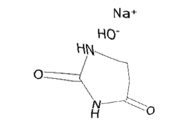 O=C1CNC(=O)N1.[Na+].[OH-]